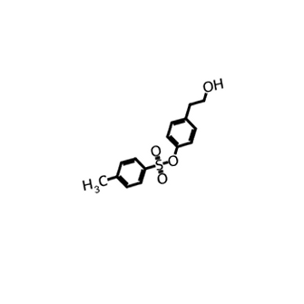 Cc1ccc(S(=O)(=O)Oc2ccc(CCO)cc2)cc1